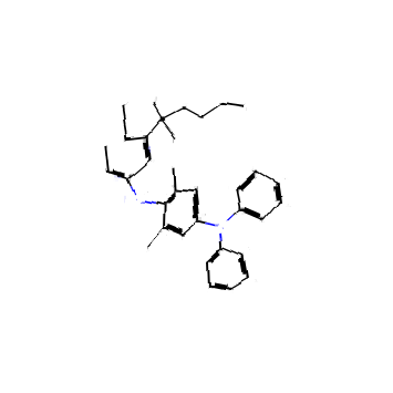 C/C=C(\C=C(/CC)C(C)(C)CCCC)Nc1c(C)cc(N(c2ccccc2)c2ccccc2)cc1C